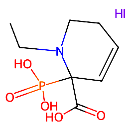 CCN1CCC=CC1(C(=O)O)P(=O)(O)O.I